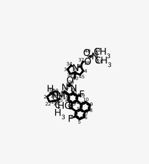 C#Cc1c(F)ccc2cccc(-c3c(F)cc4c(N5C[C@H]6CC[C@@](C)(C5)N6)nc(OCC56CCCN5C(COC(=O)N(C)C)CC6)nc4c3F)c12